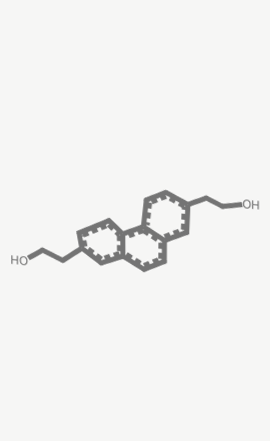 OCCc1ccc2c(ccc3cc(CCO)ccc32)c1